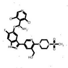 CS(=O)(=O)N1CCN(c2ncc(-c3n[nH]c4cc(F)c(O[C@H](N)c5c(Cl)cncc5Cl)cc34)cc2CO)CC1